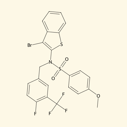 COc1ccc(S(=O)(=O)N(Cc2ccc(F)c(C(F)(F)F)c2)c2sc3ccccc3c2Br)cc1